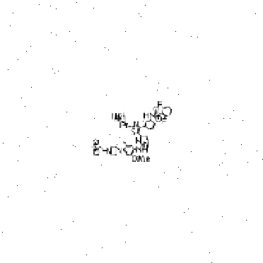 COc1cc(N2CCN(CCS(C)(=O)=O)CC2)c(C)cc1Nc1nccc(-c2sc(C(C)C)nc2-c2cccc(NS(=O)(=O)c3c(F)cccc3F)c2)n1.Cl.Cl